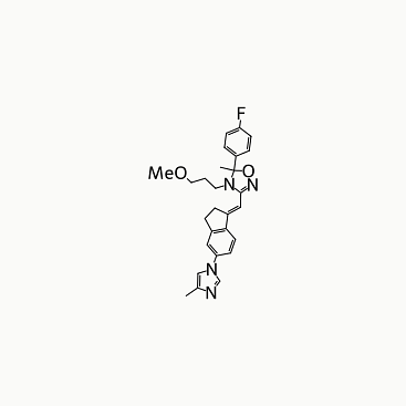 COCCCN1C(C=C2CCc3cc(-n4cnc(C)c4)ccc32)=NOC1(C)c1ccc(F)cc1